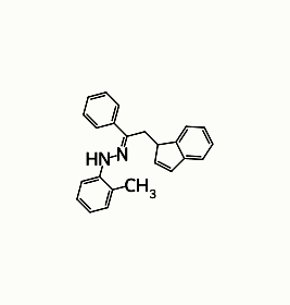 Cc1ccccc1NN=C(CC1C=Cc2ccccc21)c1ccccc1